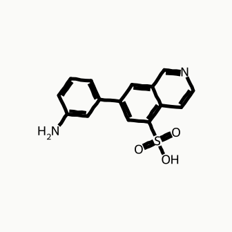 Nc1cccc(-c2cc(S(=O)(=O)O)c3ccncc3c2)c1